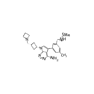 CSNCc1cc(C)cc(-c2cn([C@H]3C[C@@H](CN4CCC4)C3)c3ncnc(N)c23)c1